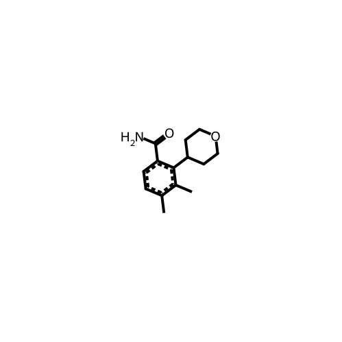 Cc1ccc(C(N)=O)c(C2CCOCC2)c1C